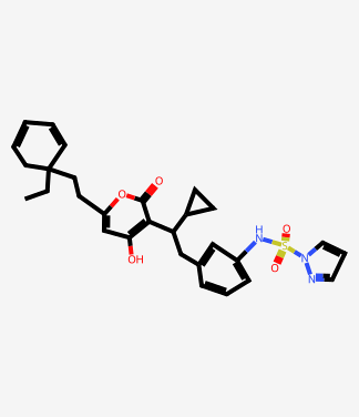 CCC1(CCc2cc(O)c(C(Cc3cccc(NS(=O)(=O)n4cccn4)c3)C3CC3)c(=O)o2)C=CC=CC1